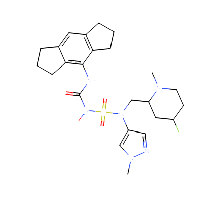 CN1CCC(F)CC1CN(c1cnn(C)c1)S(=O)(=O)[NH+]([O-])C(=O)Nc1c2c(cc3c1CCC3)CCC2